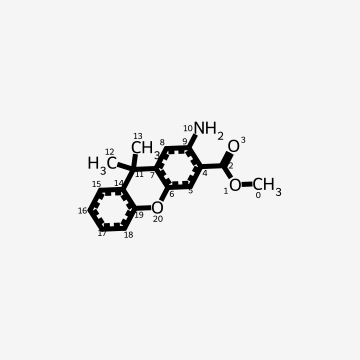 COC(=O)c1cc2c(cc1N)C(C)(C)c1ccccc1O2